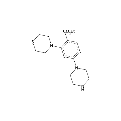 CCOC(=O)c1cnc(N2CCNCC2)nc1N1CCSCC1